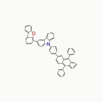 c1ccc(-c2c3ccccc3c(-c3ccccc3)c3cc(-c4ccc(-n5c6ccccc6c6cc(-c7cccc8c7oc7ccccc78)ccc65)cc4)ccc23)cc1